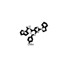 COc1ccc(COc2nc(N3CCc4ccccc43)ncc2C(=O)NC(C)c2ccc3n2CC=C3)cc1